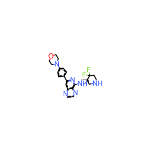 FC1(F)CCNC[C@@H]1CNc1nc(-c2ccc(N3CCOCC3)cc2)cc2nccnc12